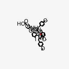 COc1ccc(CN(Cc2ccc(OC)cc2)S(=O)(=O)c2c(S(=O)(=O)N[C@@H]3CCN(C(=O)O)C3)ccc(I)c2-c2nnnn2Cc2ccc(OC)cc2)cc1